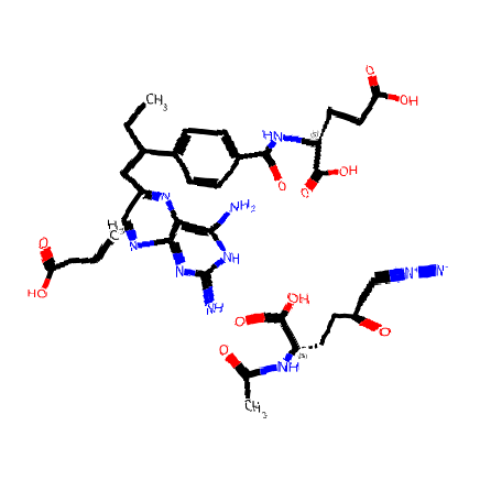 CC(=O)N[C@@H](CCC(=O)C=[N+]=[N-])C(=O)O.CCC(=O)O.CCC(Cc1cnc2nc(=N)[nH]c(N)c2n1)c1ccc(C(=O)N[C@@H](CCC(=O)O)C(=O)O)cc1